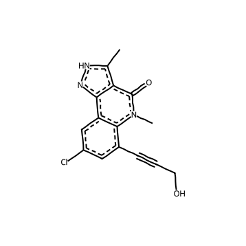 Cc1[nH]nc2c1c(=O)n(C)c1c(C#CCO)cc(Cl)cc21